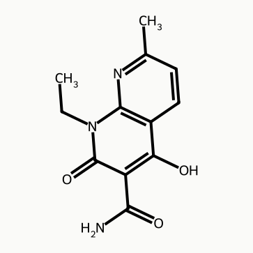 CCn1c(=O)c(C(N)=O)c(O)c2ccc(C)nc21